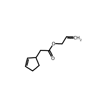 C=CCOC(=O)CC1C=CCC1